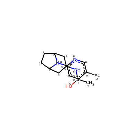 CB(O)NC1CC2CCC(C1)N2c1ccc(C(C)=O)cn1